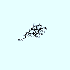 CC(=O)O[C@H]1[C@@H](O)[C@H]2C(C)(C)CC[C@H](O)[C@]2(C)[C@H]2C(=O)C[C@](C)(/C=C\CC(=O)O)O[C@]12C